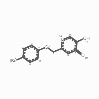 CC(C)(C)c1ccc(SCc2cc(=O)c(O)c[nH]2)cc1